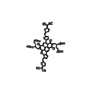 [C-]#[N+]C([N+]#[C-])=c1cc/c(=C\c2ccc(-c3cc4c5c(c(-c6ccc(/C=c7\ccc(=C(C#N)C#N)s7)s6)cc6c5c3C(=O)N(CC(CCCCCCCCCC)CCCCCCCCCCCC)C6=O)C(=O)N(CC(CCCCCCCCCC)CCCCCCCCCCCC)C4=O)s2)s1